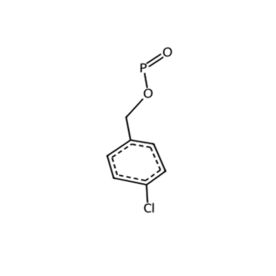 O=POCc1ccc(Cl)cc1